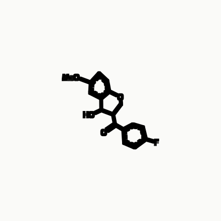 COc1ccc2c(c1)C(O)C(C(=O)c1ccc(F)cc1)CO2